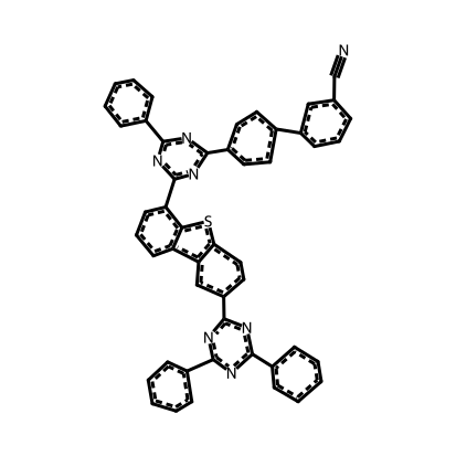 N#Cc1cccc(-c2ccc(-c3nc(-c4ccccc4)nc(-c4cccc5c4sc4ccc(-c6nc(-c7ccccc7)nc(-c7ccccc7)n6)cc45)n3)cc2)c1